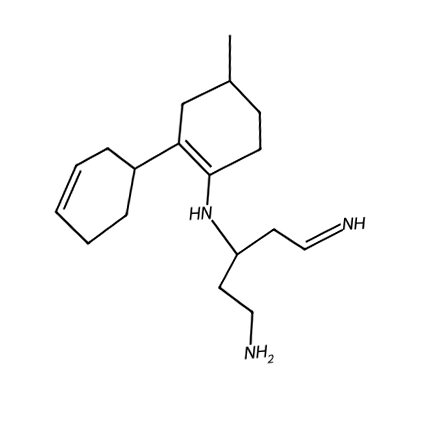 CC1CCC(NC(CC=N)CCN)=C(C2CC=CCC2)C1